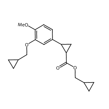 COc1ccc(C2CC2C(=O)OCC2CC2)cc1OCC1CC1